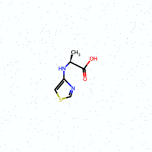 C[C@H](Nc1cscn1)C(=O)O